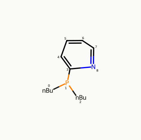 CCCCP(CCCC)c1ccccn1